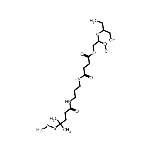 CCC(CO)OC(COC(=O)CCC(=O)NCCCNC(=O)CCC(C)(C)SSC)OC